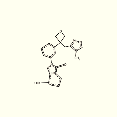 Cn1cnnc1CC1(c2cccc(-n3cc4c(C=O)cccn4c3=O)c2)COC1